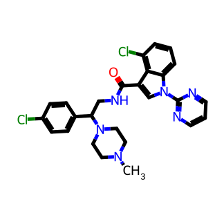 CN1CCN(C(CNC(=O)c2cn(-c3ncccn3)c3cccc(Cl)c23)c2ccc(Cl)cc2)CC1